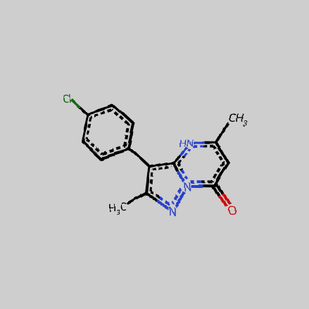 Cc1cc(=O)n2nc(C)c(-c3ccc(Cl)cc3)c2[nH]1